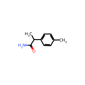 Cc1ccc(C(C)C(N)=O)cc1